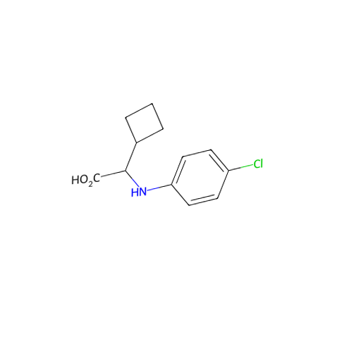 O=C(O)C(Nc1ccc(Cl)cc1)C1CCC1